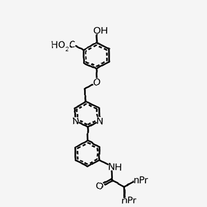 CCCC(CCC)C(=O)Nc1cccc(-c2ncc(COc3ccc(O)c(C(=O)O)c3)cn2)c1